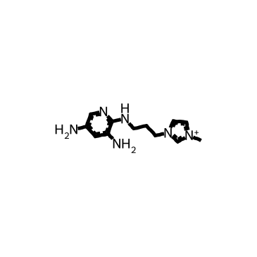 C[n+]1ccn(CCCNc2ncc(N)cc2N)c1